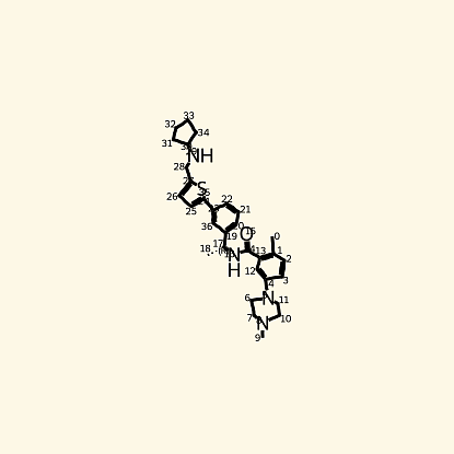 Cc1ccc(N2CCN(C)CC2)cc1C(=O)N[C@H](C)c1cccc(-c2ccc(CNC3CCCC3)s2)c1